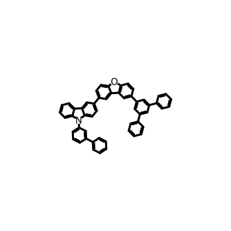 c1ccc(-c2cc(-c3ccccc3)cc(-c3ccc4oc5ccc(-c6ccc7c(c6)c6ccccc6n7-c6cccc(-c7ccccc7)c6)cc5c4c3)c2)cc1